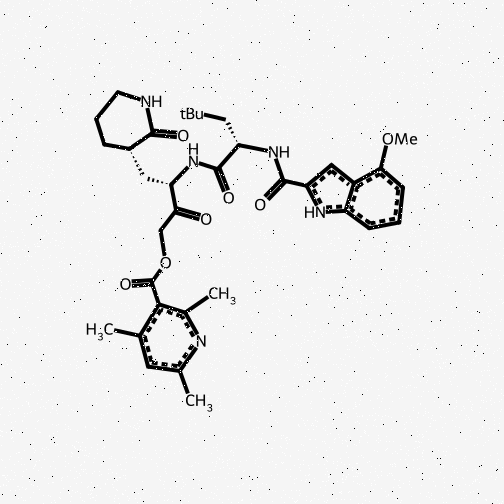 COc1cccc2[nH]c(C(=O)N[C@@H](CC(C)(C)C)C(=O)N[C@@H](C[C@@H]3CCCNC3=O)C(=O)COC(=O)c3c(C)cc(C)nc3C)cc12